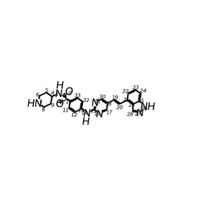 O=S(=O)(NC1CCNCC1)c1ccc(Nc2ncc(/C=C/c3cccc4[nH]ncc34)cn2)cc1